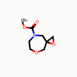 CC(C)(C)OC(=O)N1CCOCC2(CO2)C1